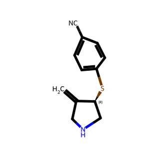 C=C1CNC[C@@H]1Sc1ccc(C#N)cc1